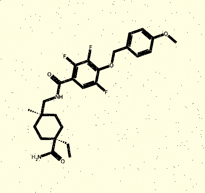 CC[C@]1(C(N)=O)CC[C@@](C)(CNC(=O)c2cc(F)c(OCc3ccc(OC)cc3)c(F)c2F)CC1